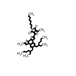 CCCCCCCCN1C(=O)c2c(C)sc(-c3cc4c5cc(CC(CC)CCCC)c(CC(CC)CCCC)cc5c5cc(C)sc5c4s3)c2C1=O